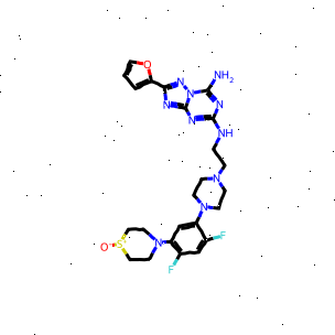 Nc1nc(NCCN2CCN(c3cc(N4CC[S+]([O-])CC4)c(F)cc3F)CC2)nc2nc(-c3ccco3)nn12